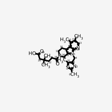 Cc1nc(Cn2c3c(c4c(C)c(C)cnc42)CCN(C(=O)CCC(C)(C)CC(=O)O)C3)c(C)s1